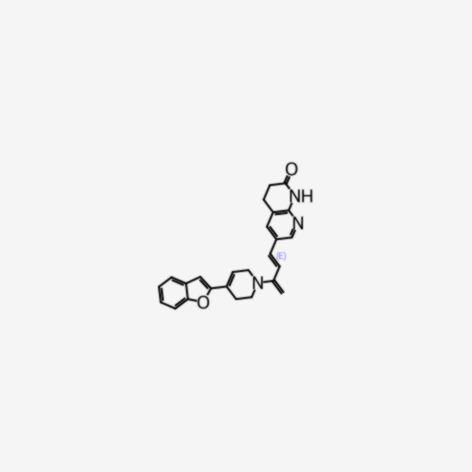 C=C(/C=C/c1cnc2c(c1)CCC(=O)N2)N1CC=C(c2cc3ccccc3o2)CC1